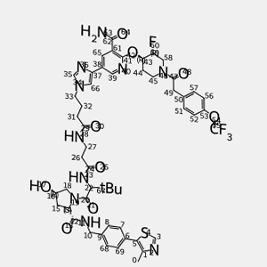 Cc1ncsc1-c1ccc(CNC(=O)[C@@H]2C[C@@H](O)CN2C(=O)C(NC(=O)CCNC(=O)CCCn2cnc(-c3cnc(O[C@@H]4CCN(C(=O)Cc5ccc(OC(F)(F)F)cc5)C[C@H]4F)c(C(N)=O)c3)c2)C(C)(C)C)cc1